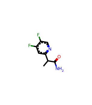 CC(C(N)=O)c1cc(F)c(F)cn1